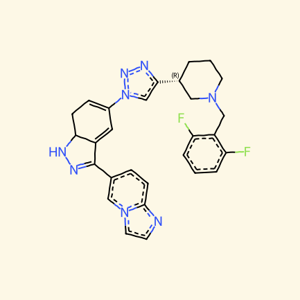 Fc1cccc(F)c1CN1CCC[C@@H](c2cn(C3=CCC4NN=C(c5ccc6nccn6c5)C4=C3)nn2)C1